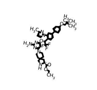 CCOC(=O)[C@@H]1CC2(CCN(c3cc(O[C@H](c4ccc(-c5ccc(OCC(C)(C)C)cc5)cc4-n4ccc(C)n4)C(F)(F)F)nc(N)n3)CC2)CN1